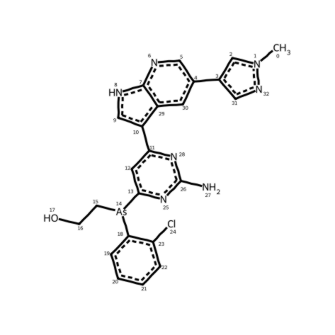 Cn1cc(-c2cnc3[nH]cc(-c4cc([As](CCO)c5ccccc5Cl)nc(N)n4)c3c2)cn1